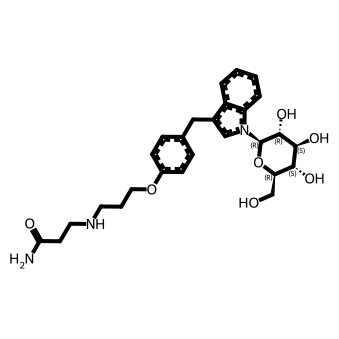 NC(=O)CCNCCCOc1ccc(Cc2cn([C@@H]3O[C@H](CO)[C@@H](O)[C@H](O)[C@H]3O)c3ccccc23)cc1